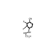 N#Cc1ccc(NNC(=O)O)c(F)c1F